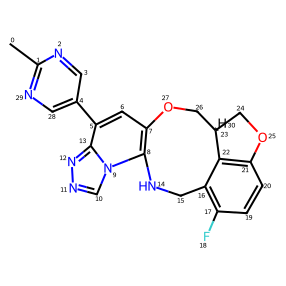 Cc1ncc(-c2cc3c(n4cnnc24)NCc2c(F)ccc4c2[C@H](CO4)CO3)cn1